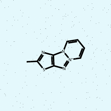 Cc1nc2c(n[n+]3ccccn23)s1